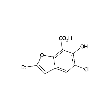 CCc1cc2cc(Cl)c(O)c(C(=O)O)c2o1